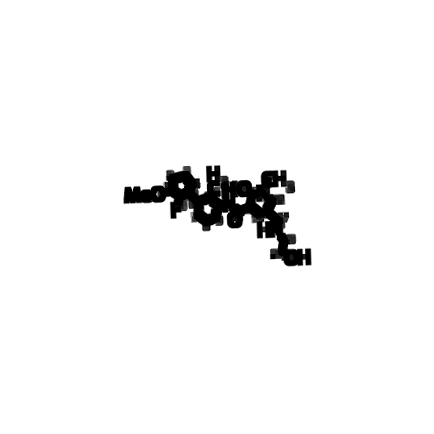 COc1cccc(-c2cccc(NC(=O)C3=CC(CNCCO)=CN(C)C3O)c2C)c1F